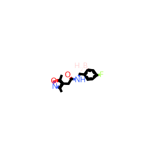 Bc1cc(F)ccc1CNC(=O)Cc1c(C)noc1C